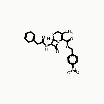 CC1=C(C(=O)OCc2ccc([N+](=O)[O-])cc2)N2C(=O)C(NC(=O)CC3=CCC=CC3)[C@H]2SC1